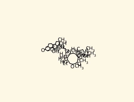 CC[C@H]1CC(=O)[C@H](C)C(=O)[C@H](C)C(O[C@@H]2O[C@H](C)C[C@@H](N(C)C)[C@H]2O)[C@](C)(OC)C[C@@H](C)/C(=N/OCCOC(=O)[C@@]2(O)[C@H](C)CC3C4CCC5=CC(=O)C=C[C@]5(C)[C@@]4(F)[C@@H](O)C[C@@]32C)[C@H](C)[C@@H](O)[C@]1(C)O